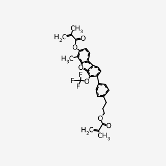 C=C(C)C(=O)OCCCc1ccc(-c2ccc3c(oc4c(C)c(OC(=O)C(=C)C)ccc43)c2OC(F)(F)F)cc1